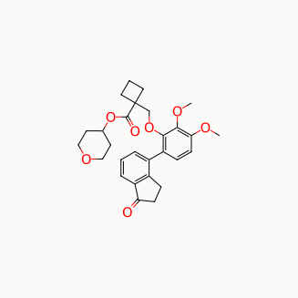 COc1ccc(-c2cccc3c2CCC3=O)c(OCC2(C(=O)OC3CCOCC3)CCC2)c1OC